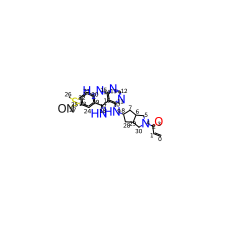 C=CC(=O)N1CC2CC(Nc3ncnc(N)c3C(=N)c3ccc4c(c3)S4(C)N=O)CC2C1